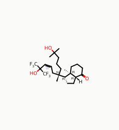 CC(C)(O)CCC[C@@](C)(C/C=C\C(O)(C(F)(F)F)C(F)(F)F)[C@H]1CC[C@H]2C(=O)CCC[C@]12C